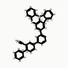 N#Cc1cc(-c2cccc(-c3cc4c5c(c3)c3ccccc3n5-c3ccccc3S4)c2)ccc1-c1ccccc1